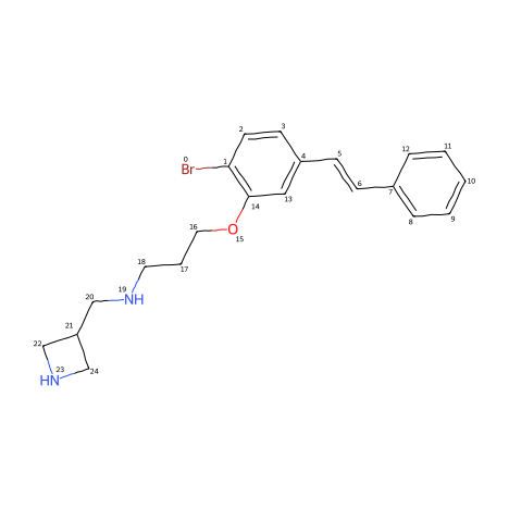 Brc1ccc(/C=C/c2ccccc2)cc1OCCCNCC1CNC1